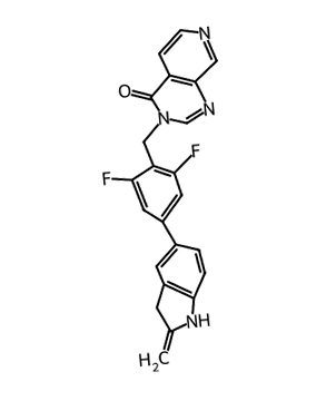 C=C1Cc2cc(-c3cc(F)c(Cn4cnc5cnccc5c4=O)c(F)c3)ccc2N1